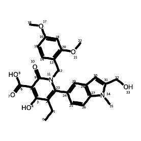 CCc1c(O)c(C(=O)O)c(=O)n(Cc2ccc(OC)cc2OC)c1-c1ccc2c(c1)cc(CO)n2C